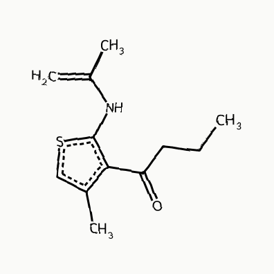 C=C(C)Nc1scc(C)c1C(=O)CCC